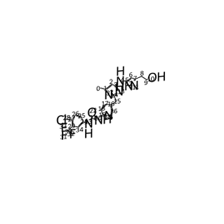 Cc1cc(Nc2cc(CCO)n[nH]2)nc(Cc2ccc(NC(=O)Nc3ccc(Cl)c(C(F)(F)F)c3)nc2)n1